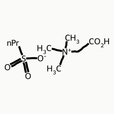 CCCS(=O)(=O)[O-].C[N+](C)(C)CC(=O)O